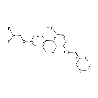 CC1=C2c3ccc(OCC(F)F)cc3CCN2C(NC[C@@H]2COCCO2)C=C1